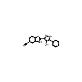 N#Cc1ccc2nc(-c3n[nH]c(-c4ccccc4)c3O)[nH]c2c1